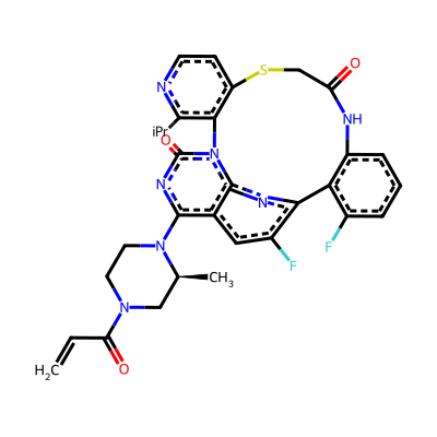 C=CC(=O)N1CCN(c2nc(=O)n3c4nc(c(F)cc24)-c2c(F)cccc2NC(=O)CSc2ccnc(C(C)C)c2-3)[C@@H](C)C1